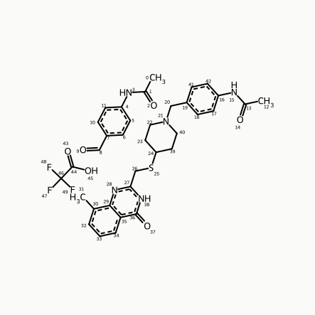 CC(=O)Nc1ccc(C=O)cc1.CC(=O)Nc1ccc(CN2CCC(SCc3nc4c(C)cccc4c(=O)[nH]3)CC2)cc1.O=C(O)C(F)(F)F